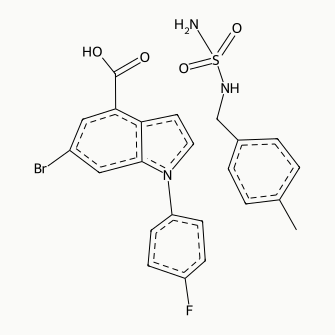 Cc1ccc(CNS(N)(=O)=O)cc1.O=C(O)c1cc(Br)cc2c1ccn2-c1ccc(F)cc1